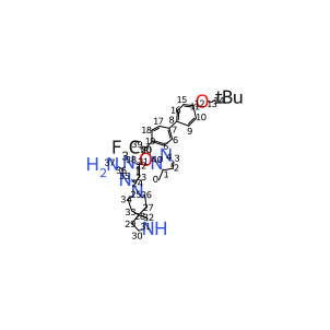 Cc1ccn(-c2cc(-c3ccc(OCC(C)(C)C)cc3)ccc2[C@@H](Oc2cc(N3CCC4(CCNC4)CC3)nc(N)n2)C(F)(F)F)n1